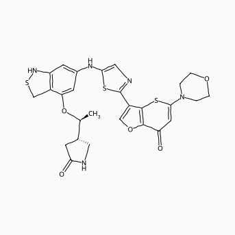 C[C@H](Oc1cc(Nc2cnc(-c3coc4c(=O)cc(N5CCOCC5)sc34)s2)cc2c1CSN2)[C@@H]1CNC(=O)C1